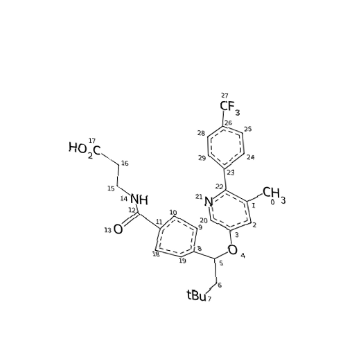 Cc1cc(OC(CC(C)(C)C)c2ccc(C(=O)NCCC(=O)O)cc2)cnc1-c1ccc(C(F)(F)F)cc1